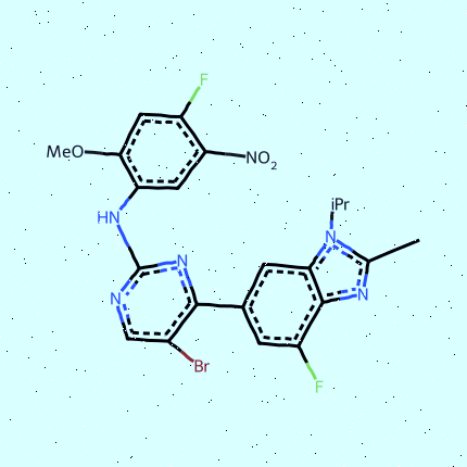 COc1cc(F)c([N+](=O)[O-])cc1Nc1ncc(Br)c(-c2cc(F)c3nc(C)n(C(C)C)c3c2)n1